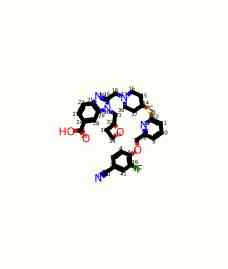 N#Cc1ccc(OCc2cccc(SC3CCN(Cc4nc5ccc(C(=O)O)cc5n4CC4CCO4)CC3)n2)c(F)c1